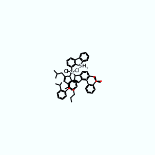 CCCc1ccc2c(c1-c1ccccc1C(C)C)C=C(CC(C)C)[CH]2[Zr]([Cl])([Cl])([c]1cccc2c1[SiH2]c1ccccc1-2)[CH]1C(CC(C)C)=Cc2c1ccc(CCC)c2-c1ccccc1C(C)C